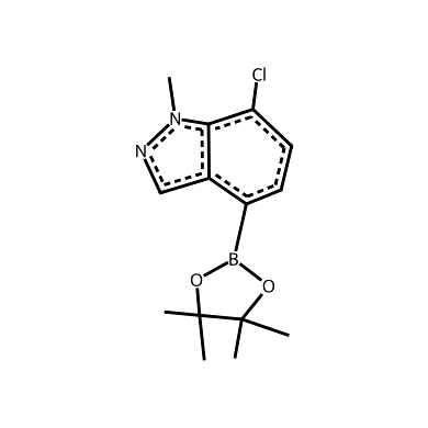 Cn1ncc2c(B3OC(C)(C)C(C)(C)O3)ccc(Cl)c21